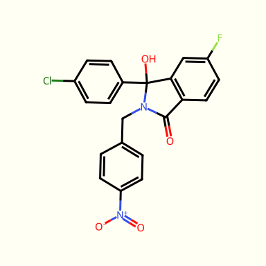 O=C1c2ccc(F)cc2C(O)(c2ccc(Cl)cc2)N1Cc1ccc([N+](=O)[O-])cc1